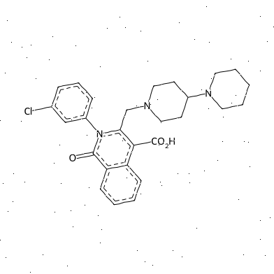 O=C(O)c1c(CN2CCC(N3CCCCC3)CC2)n(-c2cccc(Cl)c2)c(=O)c2ccccc12